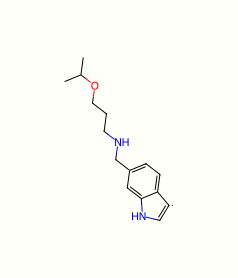 CC(C)OCCCNCc1ccc2[c]c[nH]c2c1